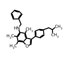 Cc1c(NCc2ccccc2)c(C)c2c(-c3ccc(CC(C)C)cc3)coc2c1C